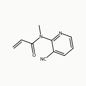 C=CC(=O)N(C)c1ncccc1C#N